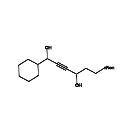 CCCCCCCCCCCC(O)C#CC(O)C1CCCCC1